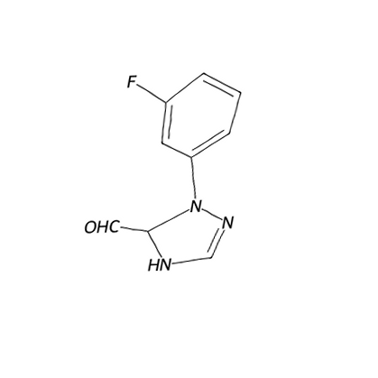 O=CC1NC=NN1c1cccc(F)c1